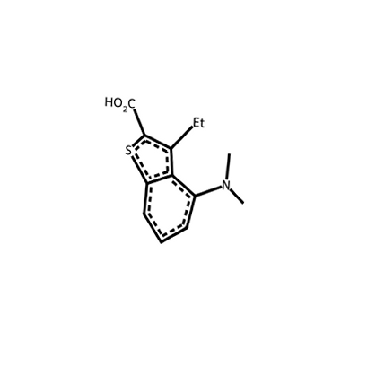 CCc1c(C(=O)O)sc2cccc(N(C)C)c12